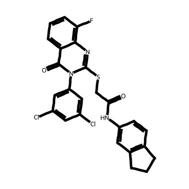 O=C(CSc1nc2c(F)cccc2c(=O)n1-c1cc(Cl)cc(Cl)c1)Nc1ccc2c(c1)CCC2